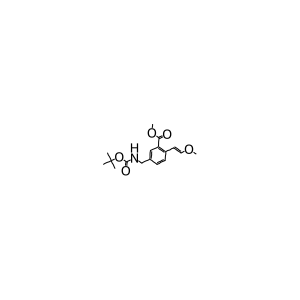 CO/C=C/c1ccc(CNC(=O)OC(C)(C)C)cc1C(=O)OC